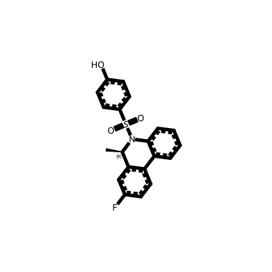 C[C@@H]1c2cc(F)ccc2-c2ccccc2N1S(=O)(=O)c1ccc(O)cc1